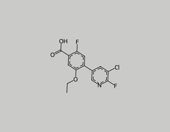 CCOc1cc(C(=O)O)c(F)cc1-c1cnc(F)c(Cl)c1